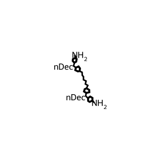 CCCCCCCCCCC(c1ccc(N)cc1)c1ccc(CCCCCCCc2ccc(C(CCCCCCCCCC)c3ccc(N)cc3)cc2)cc1